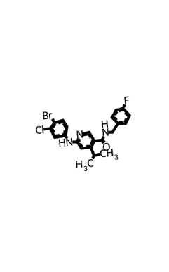 CC(C)c1cc(Nc2ccc(Br)c(Cl)c2)ncc1C(=O)NCc1ccc(F)cc1